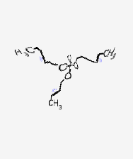 C/C=C/COP(=O)(OC/C=C/C)OC/C=C/C